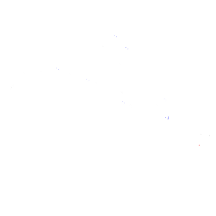 CC(C)c1ccccc1[C@@H]1CCC[C@@H]1N1CC2(CCN(c3ccc(C(=O)NS(=O)(=O)c4ccc(NC[C@H]5CC[C@](C)(O)CC5)c([N+](=O)[O-])c4)c(Oc4cc5cc[nH]c5nc4OC(F)F)c3)CC2)C1